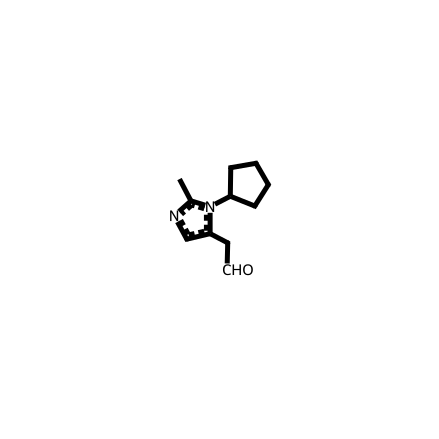 Cc1ncc(CC=O)n1C1CCCC1